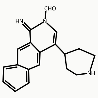 N=c1c2cc3ccccc3cc2c(C2CCNCC2)cn1C=O